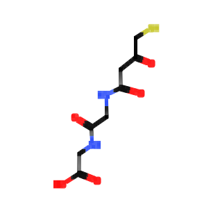 O=C(O)CNC(=O)CNC(=O)CC(=O)CS